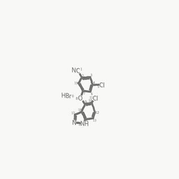 Br.N#Cc1cc(Cl)cc(Oc2c(Cl)ccc3[nH]ncc23)c1